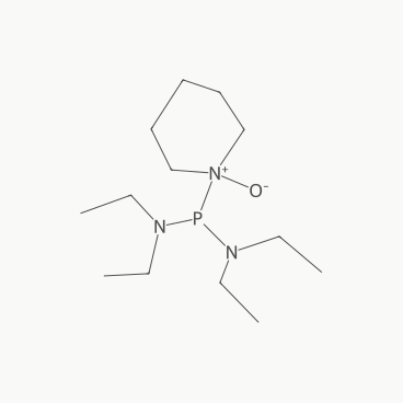 CCN(CC)P(N(CC)CC)[N+]1([O-])CCCCC1